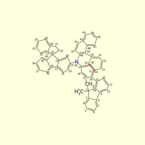 CC1(C)c2ccccc2-c2cccc(-c3ccc(N(c4ccc5c(c4)C4(CCc6ccccc64)c4ccccc4-5)c4ccc5ccccc5c4-c4ccccc4)cc3)c21